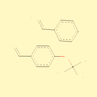 C=Cc1ccc(OC(C)(C)C)cc1.C=Cc1ccccc1